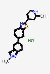 CC1CC(c2nc3ccc(-c4ccc5nn(C)cc5c4)cc3s2)=CCN1.Cl